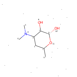 CC1CC(N(C)C)C(O)[C@H](O)O1